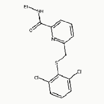 CCNC(=O)c1cccc(CSc2c(Cl)cccc2Cl)n1